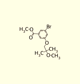 COC(=O)c1cc(Br)cc(OCC(C)(C)OC)c1